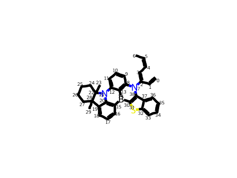 C=C/C(=C\C=C/C)N1c2cccc3c2B(c2cccc4c2N3C2(C)CCCCC42C)c2sc3ccccc3c21